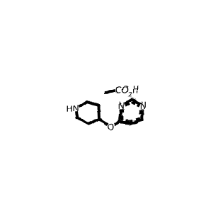 CC(=O)O.c1cc(OC2CCNCC2)ncn1